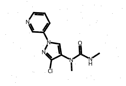 CNC(=O)N(C)c1cn(-c2cccnc2)nc1Cl